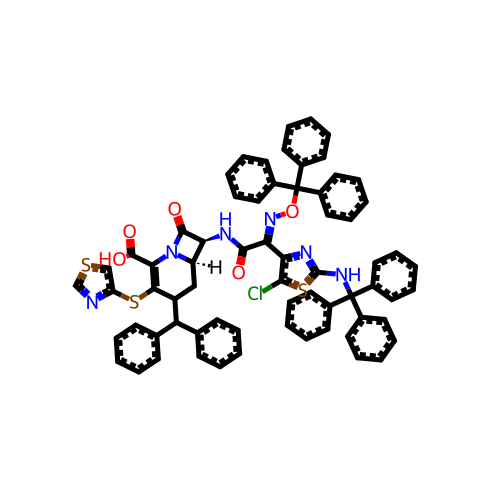 O=C(O)C1=C(Sc2cscn2)C(C(c2ccccc2)c2ccccc2)C[C@@H]2[C@H](NC(=O)C(=NOC(c3ccccc3)(c3ccccc3)c3ccccc3)c3nc(NC(c4ccccc4)(c4ccccc4)c4ccccc4)sc3Cl)C(=O)N12